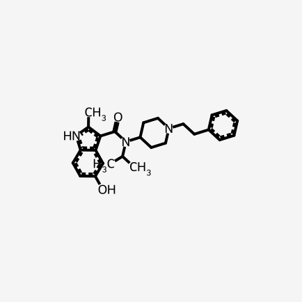 Cc1[nH]c2ccc(O)cc2c1C(=O)N(C(C)C)C1CCN(CCc2ccccc2)CC1